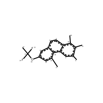 Cc1cc2c(ccc3cc(OC(C)(F)F)cc(C)c32)c(C)c1C